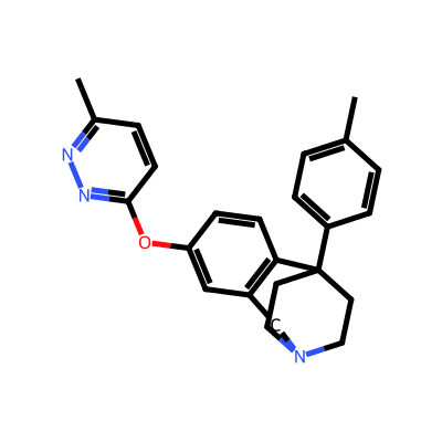 Cc1ccc(C23CCN(CC2)Cc2cc(Oc4ccc(C)nn4)ccc23)cc1